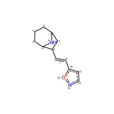 C(=C\C1CC2CCCC1N2)/c1ccno1